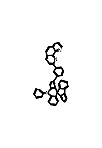 c1ccc(N2c3ccccc3C3(c4ccccc4-c4ccccc43)c3cc(-c4cccc(-c5ccc6ccc7cccnc7c6n5)c4)ccc32)cc1